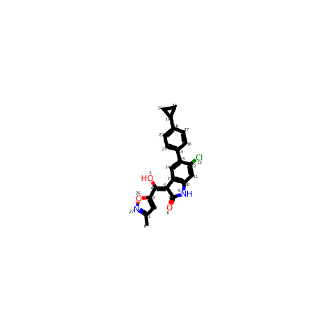 Cc1cc(C(O)=C2C(=O)Nc3cc(Cl)c(-c4ccc(C5CC5)cc4)cc32)on1